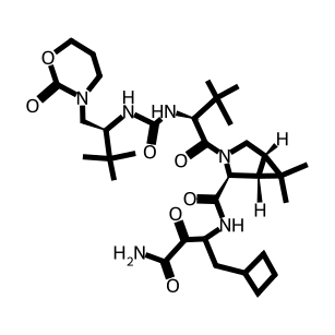 CC(C)(C)[C@H](NC(=O)N[C@H](CN1CCCOC1=O)C(C)(C)C)C(=O)N1C[C@H]2[C@@H]([C@H]1C(=O)NC(CC1CCC1)C(=O)C(N)=O)C2(C)C